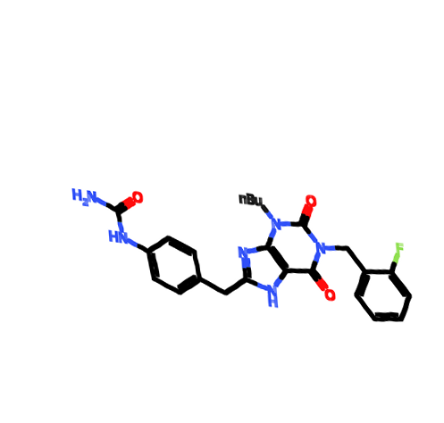 CCCCn1c(=O)n(Cc2ccccc2F)c(=O)c2[nH]c(Cc3ccc(NC(N)=O)cc3)nc21